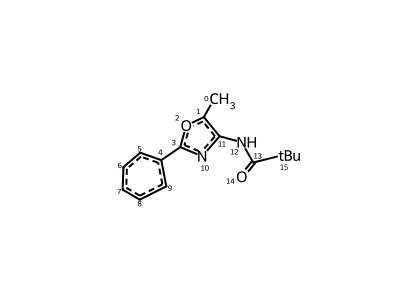 Cc1oc(-c2ccccc2)nc1NC(=O)C(C)(C)C